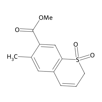 COC(=O)c1cc2c(cc1C)C=CCS2(=O)=O